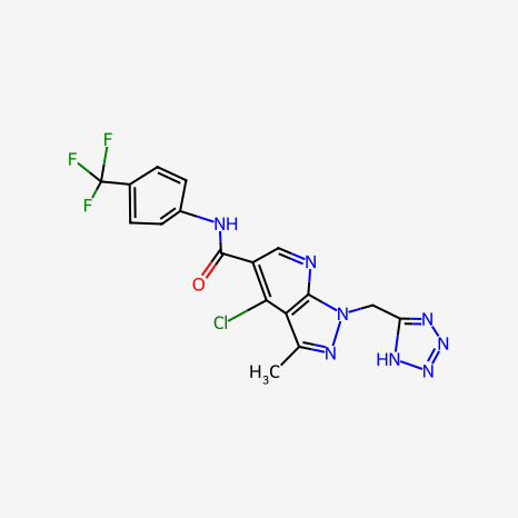 Cc1nn(Cc2nnn[nH]2)c2ncc(C(=O)Nc3ccc(C(F)(F)F)cc3)c(Cl)c12